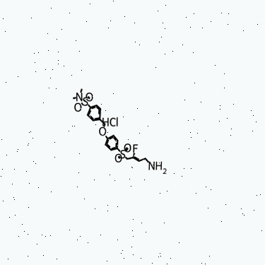 CN(C)S(=O)(=O)c1ccc(COc2ccc(S(=O)(=O)C/C(F)=C/CN)cc2)cc1.Cl